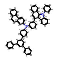 c1ccc(-c2cc(-c3ccccc3)cc(-c3ccc(N(c4cccc(-c5cc6ccccc6c6c5c5ccccc5n6-c5ccccc5)c4)c4ccc5c(ccc6ccccc65)c4)cc3)c2)cc1